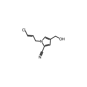 N#Cc1cc(CO)cn1C/C=C/Cl